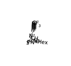 CCCCCC[n+]1ccc(C(C)CC(CC(CP=S)c2ccncc2)c2cc[n+](CCCCCCC(F)(F)C(F)(F)C(F)(F)C(F)(F)C(F)(F)C(F)(F)C(F)(F)C(F)(F)F)cc2)cc1